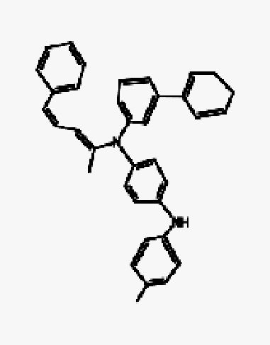 C/C(=C\C=C/c1ccccc1)N(c1ccc(Nc2ccc(C)cc2)cc1)c1cccc(C2=CCCC=C2)c1